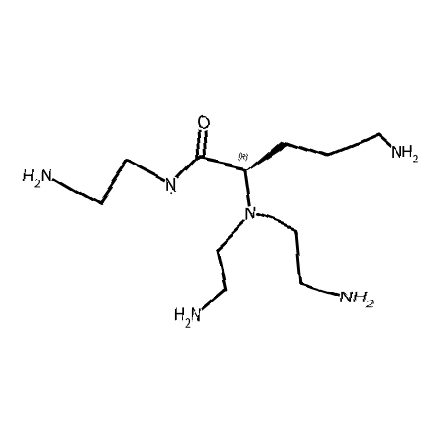 NCCC[C@H](C(=O)[N]CCN)N(CCN)CCN